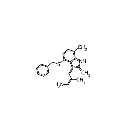 C=c1[nH]c2c(C)ccc(SCc3ccccc3)c2/c1=C/C(C)=C\N